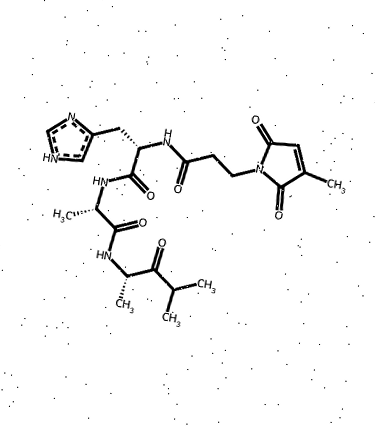 CC1=CC(=O)N(CCC(=O)N[C@@H](Cc2c[nH]cn2)C(=O)N[C@@H](C)C(=O)N[C@@H](C)C(=O)C(C)C)C1=O